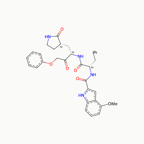 COc1cccc2[nH]c(C(=O)N[C@@H](CC(C)C)C(=O)N[C@@H](C[C@@H]3CCNC3=O)C(=O)COc3ccccc3)cc12